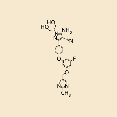 Cc1ncc(COc2cc(F)cc(Oc3ccc(-c4nn(C(CO)CO)c(N)c4C#N)cc3)c2)cn1